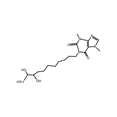 CCCCCCCCC(O)C(O)CCCCCCCCn1c(=O)c2c(ncn2C)n(C)c1=O